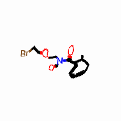 Cc1ccccc1C(=O)N(C=O)CCOCCBr